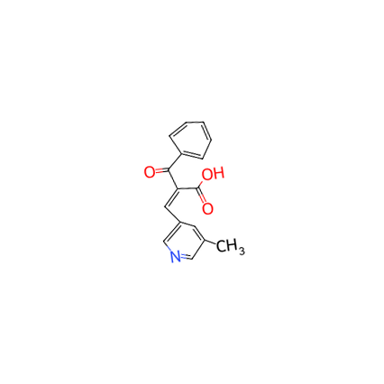 Cc1cncc(C=C(C(=O)O)C(=O)c2ccccc2)c1